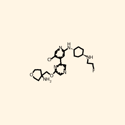 NC1(COc2cncc(-c3cc(N[C@H]4CC[C@H](NCCF)CC4)ncc3Cl)n2)CCOCC1